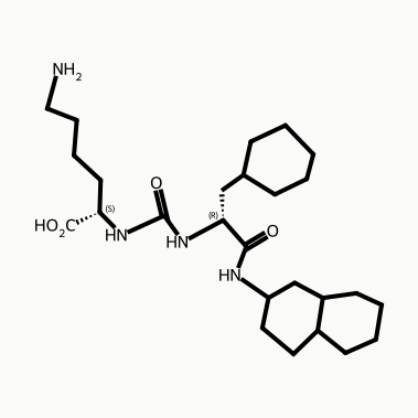 NCCCC[C@H](NC(=O)N[C@H](CC1CCCCC1)C(=O)NC1CCC2CCCCC2C1)C(=O)O